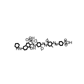 COc1cc(N=Nc2ccc(S(=O)(=O)O)cc2)c(C)cc1N=Nc1cc(OC)c(N=Nc2c(S(=O)(=O)O)cc3cc(Nc4ccccc4)ccc3c2O)cc1OC